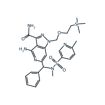 Cc1ccc(S(=O)(=O)N(C)C(c2ccccc2)c2cc3c(c(N)n2)c(C(N)=O)nn3COCC[Si](C)(C)C)cn1